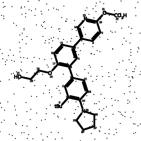 CC(C)(C)c1cc(-c2cc(-c3ccc(OC(=O)O)nc3)ccc2OCCO)ccc1N1CCCC1